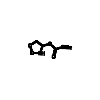 COC(=O)OC1COON1